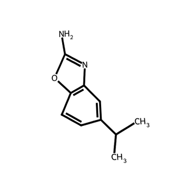 CC(C)c1ccc2oc(N)nc2c1